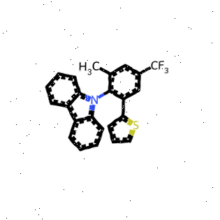 Cc1cc(C(F)(F)F)cc(-c2cccs2)c1-n1c2ccccc2c2ccccc21